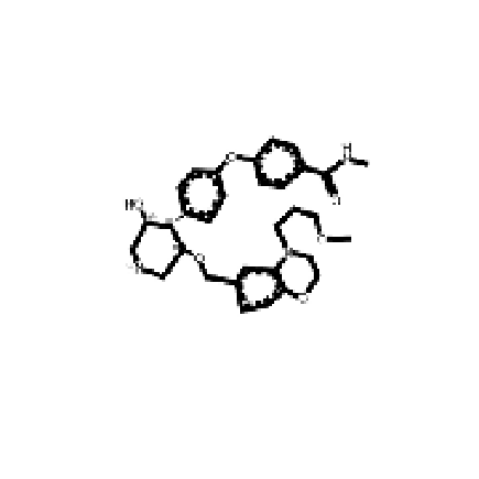 CNC(=O)c1ccc(Oc2ccc([C@H]3[C@H](O)CNC[C@@H]3OCc3ccc4c(c3)N(CCCOC)CCO4)cc2)cc1